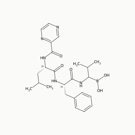 CC(C)C[C@H](NC(=O)c1cnccn1)C(=O)N[C@@H](Cc1ccccc1)C(=O)NC(B(O)O)C(C)C